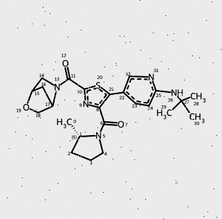 C[C@H]1CCCN1C(=O)c1nc(C(=O)N2CC3CC2CO3)sc1-c1ccc(NC(C)(C)C)nc1